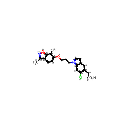 CCCc1c(OCCCn2ccc3cc(CC(=O)O)c(Cl)cc32)ccc2c(C(F)(F)F)noc12